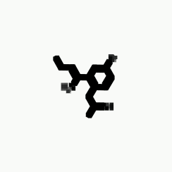 CCC=C(N)c1cc(Br)ccc1CC(C)=N